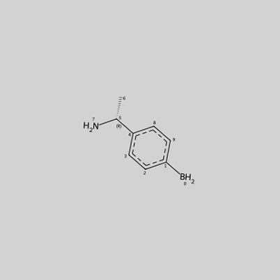 Bc1ccc([C@@H](C)N)cc1